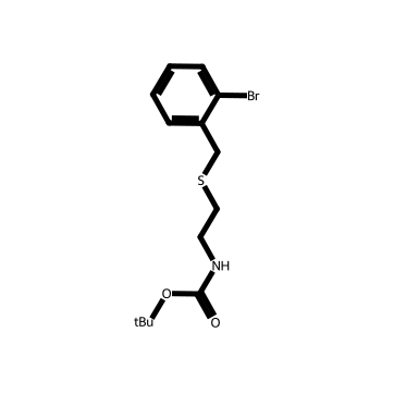 CC(C)(C)OC(=O)NCCSCc1ccccc1Br